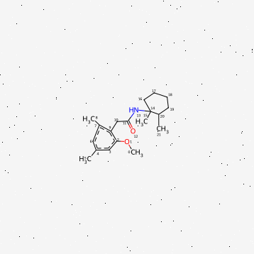 COc1cc(C)cc(C)c1CC(=O)NC1(C)CCCCC1C